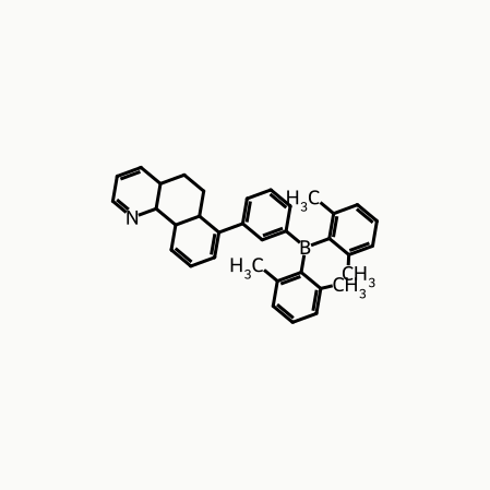 Cc1cccc(C)c1B(c1cccc(C2=CC=CC3C2CCC2C=CC=NC23)c1)c1c(C)cccc1C